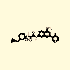 Cc1ccncc1-c1cc(N)c2cnc(NC(=O)C(=O)NC3(C#N)CCCC(CC4CC4)C3)cc2c1